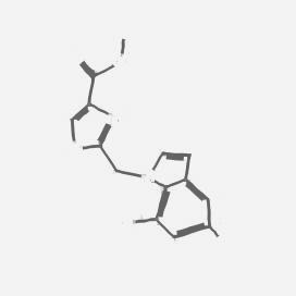 COC(=O)c1coc(Cn2ccc3cc(Cl)cc(Cl)c32)n1